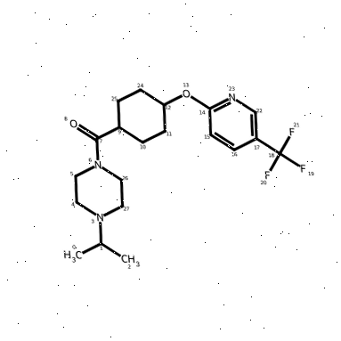 CC(C)N1CCN(C(=O)C2CCC(Oc3ccc(C(F)(F)F)cn3)CC2)CC1